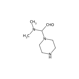 CN(C)C(C=O)N1CCNCC1